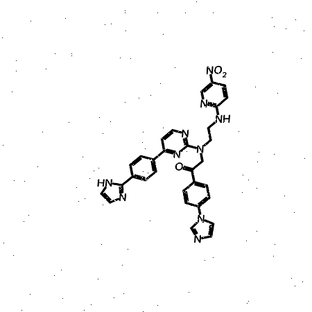 O=C(CN(CCNc1ccc([N+](=O)[O-])cn1)c1nccc(-c2ccc(-c3ncc[nH]3)cc2)n1)c1ccc(-n2ccnc2)cc1